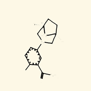 Cc1ccc(N2C[C@H]3CC[C@@H](C2)N3)cc1C(N)=O